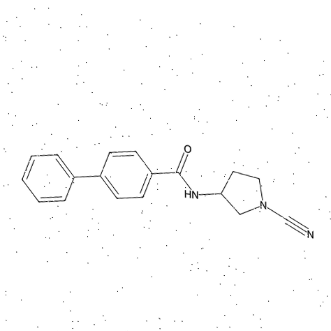 N#CN1CCC(NC(=O)c2ccc(-c3ccccc3)cc2)C1